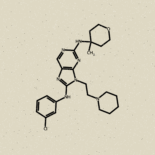 CC1(Nc2ncc3nc(Nc4cccc(Cl)c4)n(CCN4CCCCC4)c3n2)CCOCC1